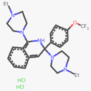 CCN1CCN(C2=c3ccccc3=CC(c3ccc(OC(F)(F)F)cc3)(N3CCN(CC)CC3)N2)CC1.Cl.Cl